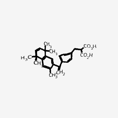 C=C(c1ccc(CC(C(=O)O)C(=O)O)cc1)c1cc2c(cc1C)C(C)(C)C=CC2(C)C